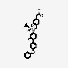 Cc1cc(N(Cc2ccc(CC(=O)O)cc2)S(=O)(=O)C2CC2)ccc1-c1ccc(Oc2ccccc2)cc1